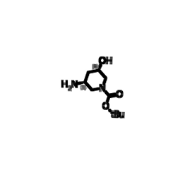 CC(C)(C)OC(=O)N1C[C@@H](N)C[C@@H](O)C1